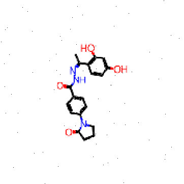 CC(=NNC(=O)c1ccc(N2CCCC2=O)cc1)c1ccc(O)cc1O